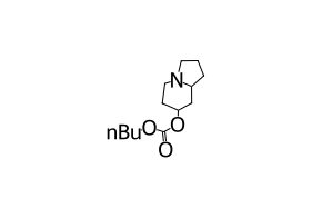 CCCCOC(=O)OC1CCN2CCCC2C1